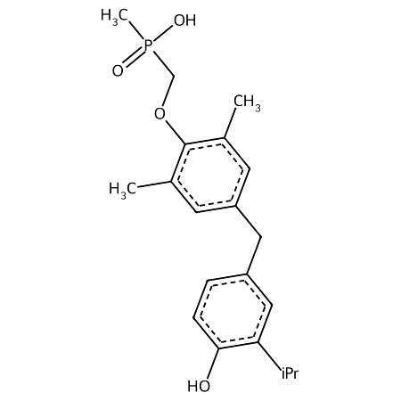 Cc1cc(Cc2ccc(O)c(C(C)C)c2)cc(C)c1OCP(C)(=O)O